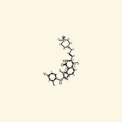 Cc1cc(F)ccc1Nc1nc2ccc3c(C)c(C=CCN4CCP(C)(=O)CC4)[nH]c(=O)c3c2n1C